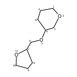 C1COCC(OCC2CCCO2)C1